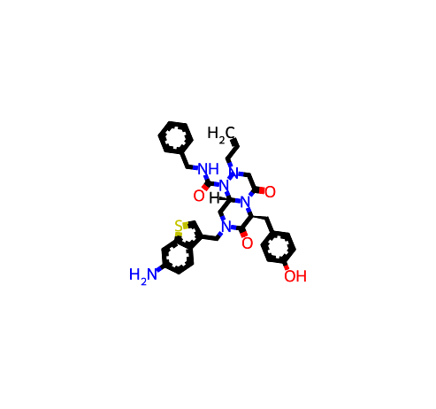 C=CCN1CC(=O)N2[C@@H](Cc3ccc(O)cc3)C(=O)N(Cc3csc4cc(N)ccc34)C[C@@H]2N1C(=O)NCc1ccccc1